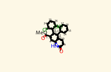 COC(=O)c1cc2[nH]c(=O)ccc2c(-c2ccccc2Cl)c1-c1c(Cl)cccc1Cl